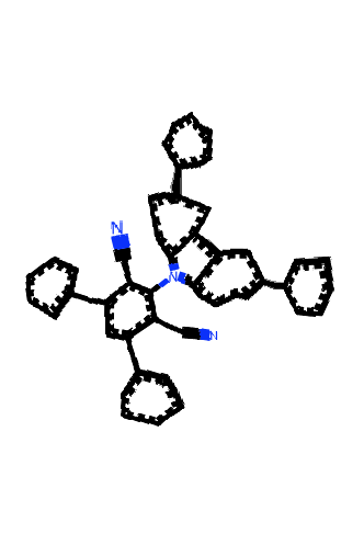 N#Cc1c(-c2ccccc2)cc(-c2ccccc2)c(C#N)c1-n1c2ccc(-c3ccccc3)cc2c2cc(-c3ccccc3)ccc21